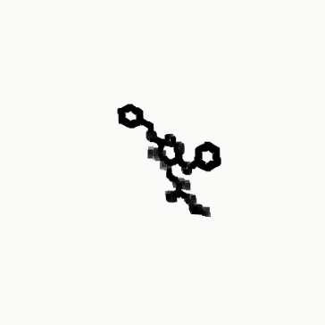 CC(C)(C)OC(=O)NC[C@@H](NC(=O)OCc1ccccc1)C(=O)Oc1ccccc1